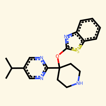 CC(C)c1cnc(C2(Oc3nc4ccccc4s3)CCNCC2)nc1